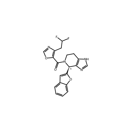 O=C(c1ocnc1CC(F)F)N1CCc2[nH]cnc2[C@H]1c1cc2ccccc2o1